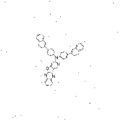 c1ccc2cc(-c3ccc(N(c4ccc(-c5ccc6ccccc6c5)cc4)c4cc5oc6nc7ccccc7nc6c5cn4)cc3)ccc2c1